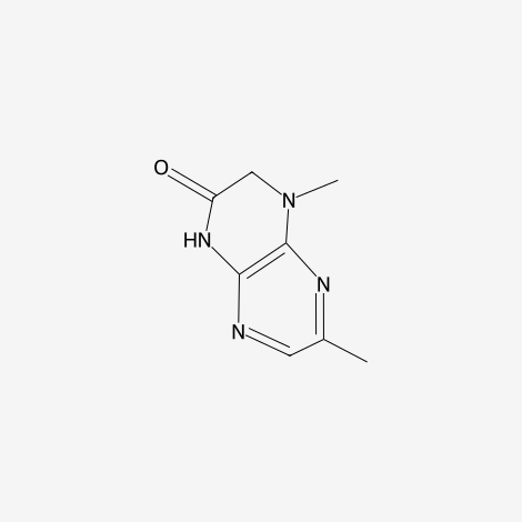 Cc1cnc2c(n1)N(C)CC(=O)N2